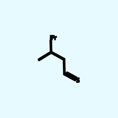 CC(C)C(C)CC=S